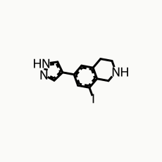 Ic1cc(-c2cn[nH]c2)cc2c1CNCC2